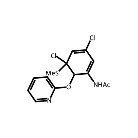 CSC1(Cl)C=C(Cl)C=C(NC(C)=O)C1Oc1ccccn1